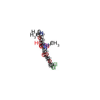 CCCCOC(=O)N1Cc2cc3c(cc2C[C@H]1C(=O)N[C@@H](Cc1ccc(Oc2ccnc(C)c2C)cc1)C(=O)O)OC[C@H](c1ccc(OCc2ccc(Cl)c(Cl)c2)cc1)O3